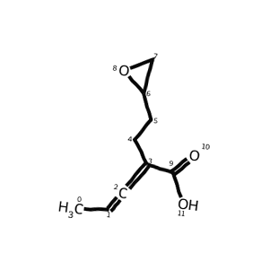 CC=C=C(CCC1CO1)C(=O)O